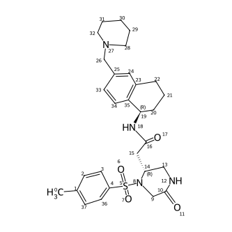 Cc1ccc(S(=O)(=O)N2CC(=O)NC[C@H]2CC(=O)N[C@@H]2CCCc3cc(CN4CCCCC4)ccc32)cc1